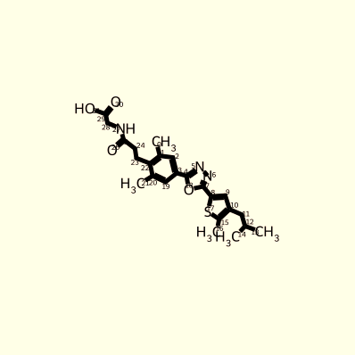 Cc1cc(-c2nnc(-c3cc(CC(C)C)c(C)s3)o2)cc(C)c1CCC(=O)NCC(=O)O